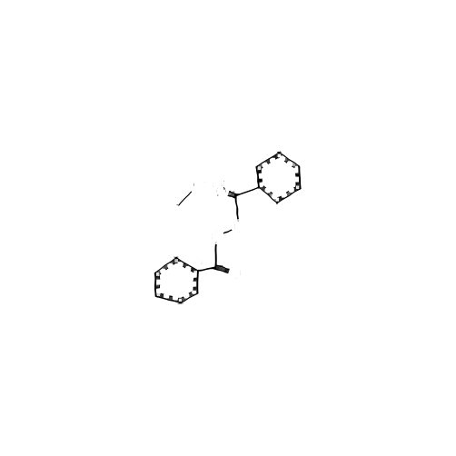 CC(=O)O.O=C(OOC(=O)c1ccccc1)c1ccccc1